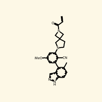 C=CC(=O)N1CC2(CCN(c3cc(OC)cc(-c4c(C)ccc5[nH]ncc45)c3C#N)C2)C1